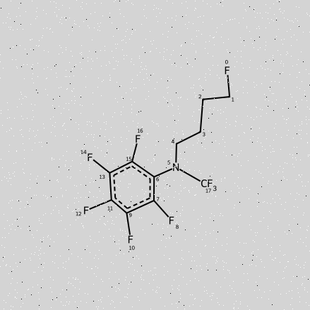 FCCCCN(c1c(F)c(F)c(F)c(F)c1F)C(F)(F)F